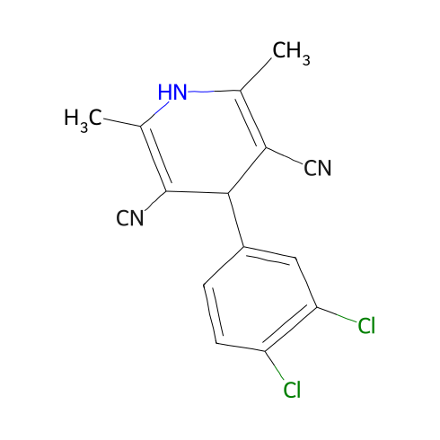 [C-]#[N+]C1=C(C)NC(C)=C(C#N)C1c1ccc(Cl)c(Cl)c1